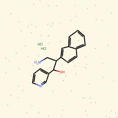 Cl.Cl.NCC(c1ccc2ccccc2c1)C(O)c1cccnc1